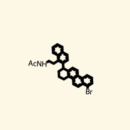 CC(=O)NCCc1c(C2CCCc3c2ccc2c3ccc3c(Br)cccc32)ccc2ccccc12